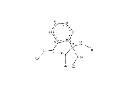 CCCc1ccccc1C(CC)(CC)CC